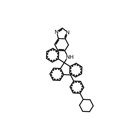 C1=NC2=CC=C(NC(c3ccccc3)(c3ccccc3)c3ccccc3Cc3ccc(C4CCCCC4)cc3)CC2=N1